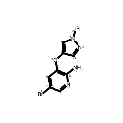 CC(C)n1cc(Oc2cc(Br)cnc2N)cn1